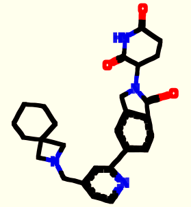 O=C1CCC(N2Cc3cc(-c4cc(CN5CC6(CCCCC6)C5)ccn4)ccc3C2=O)C(=O)N1